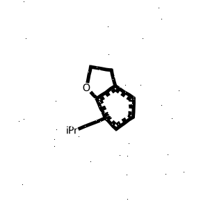 CC(C)c1cccc2c1OCC2